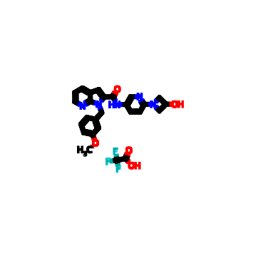 COc1cccc(Cn2c(C(=O)Nc3ccc(N4CC(O)C4)nc3)cc3cccnc32)c1.O=C(O)C(F)(F)F